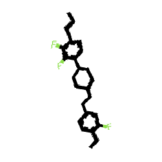 CCCc1ccc(C2CCC(CCc3ccc(CC)c(F)c3)CC2)c(F)c1F